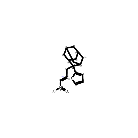 O=[N+]([O-])/C=C/CC1(c2cccs2)C2CC3CC(C2)CC1C3